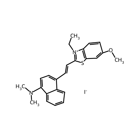 CC[n+]1c(/C=C/c2ccc(N(C)C)c3ccccc23)sc2cc(OC)ccc21.[I-]